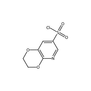 O=S(=O)(Cl)c1cnc2c(c1)OCCO2